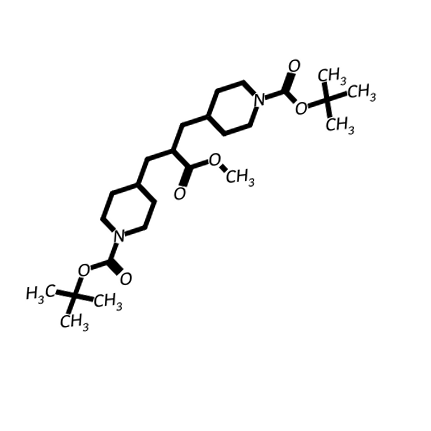 COC(=O)C(CC1CCN(C(=O)OC(C)(C)C)CC1)CC1CCN(C(=O)OC(C)(C)C)CC1